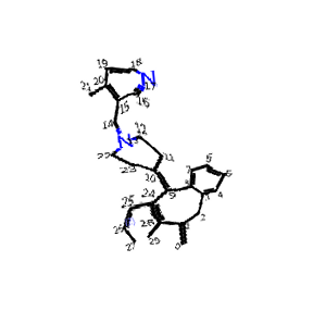 C=C1Cc2ccccc2C(=C2CCN(Cc3cnccc3C)CC2)C(/C=C\C)=C1C